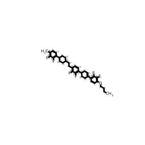 CCCCOc1ccc(C2=CCC(c3ccc(CCC4CCC(c5ccc(C)c(F)c5F)CC4)c(F)c3F)CC2)c(F)c1F